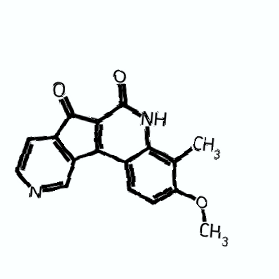 COc1ccc2c3c(c(=O)[nH]c2c1C)C(=O)c1ccncc1-3